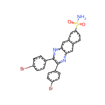 NS(=O)(=O)c1ccc2cc3nc(-c4ccc(Br)cc4)c(-c4ccc(Br)cc4)nc3cc2c1